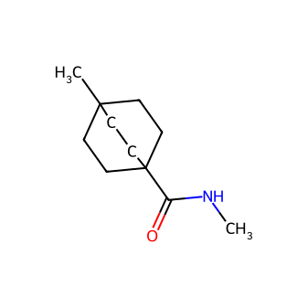 CNC(=O)C12CCC(C)(CC1)CC2